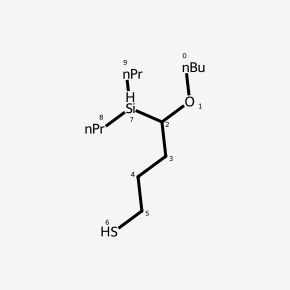 CCCCOC(CCCS)[SiH](CCC)CCC